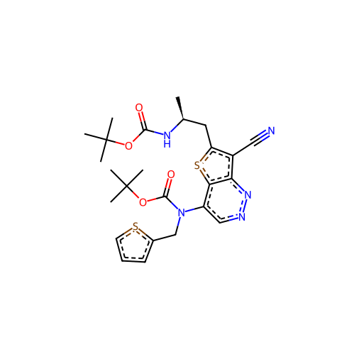 C[C@@H](Cc1sc2c(N(Cc3cccs3)C(=O)OC(C)(C)C)cnnc2c1C#N)NC(=O)OC(C)(C)C